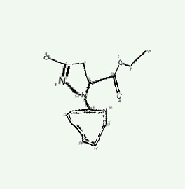 CCOC(=O)C1CC(Cl)=NN1c1ccccn1